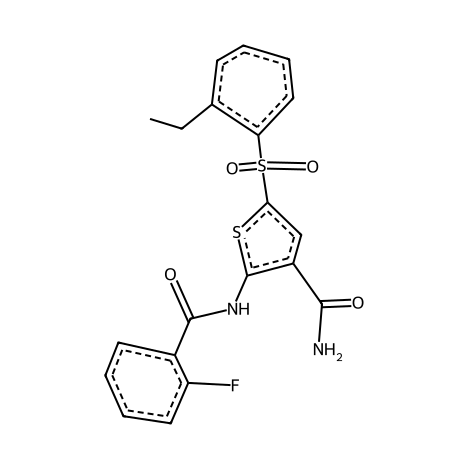 CCc1ccccc1S(=O)(=O)c1cc(C(N)=O)c(NC(=O)c2ccccc2F)s1